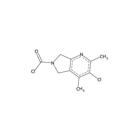 Cc1nc2c(c(C)c1Cl)CN(C(=O)Cl)C2